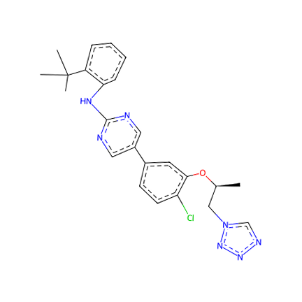 C[C@@H](Cn1cnnn1)Oc1cc(-c2cnc(Nc3ccccc3C(C)(C)C)nc2)ccc1Cl